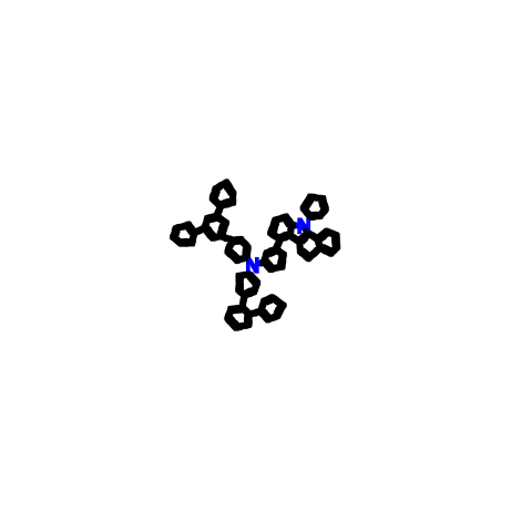 c1ccc(-c2cc(-c3ccccc3)cc(-c3ccc(N(c4ccc(-c5ccccc5-c5ccccc5)cc4)c4cccc(-c5cccc6c5c5ccc7ccccc7c5n6-c5ccccc5)c4)cc3)c2)cc1